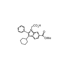 COC(=O)c1ccc2c(C3CCCCC3)c(-c3ccccc3)n(CC(=O)O)c2c1